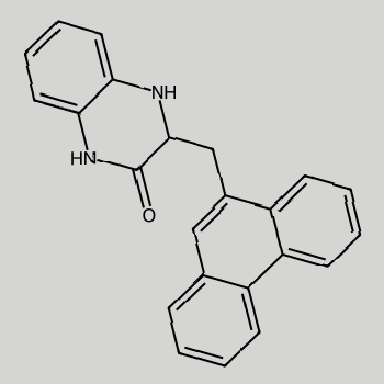 O=C1Nc2ccccc2NC1Cc1cc2ccccc2c2ccccc12